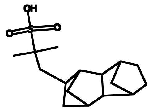 CC(C)(CC1CC2CC1C1C3CCC(C3)C21)S(=O)(=O)O